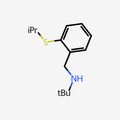 CC(C)Sc1ccccc1CNC(C)(C)C